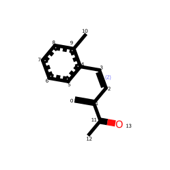 C=C(/C=C\c1ccccc1C)C(C)=O